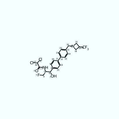 O=C(N[C@H](CF)[C@H](O)c1ccc(-c2ccc(CN3CC(C(F)(F)F)C3)cc2)cc1)C(Cl)Cl